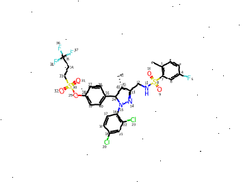 Cc1ccc(F)cc1S(=O)(=O)NCC1=NN(c2ccc(Cl)cc2Cl)C(c2ccc(OS(=O)(=O)CCC(F)(F)F)cc2)[C@@H]1C